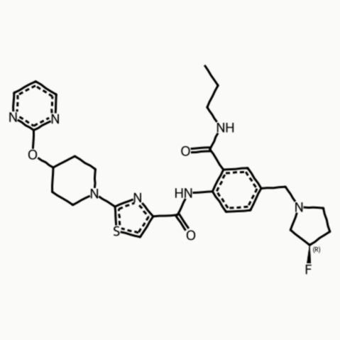 CCCNC(=O)c1cc(CN2CC[C@@H](F)C2)ccc1NC(=O)c1csc(N2CCC(Oc3ncccn3)CC2)n1